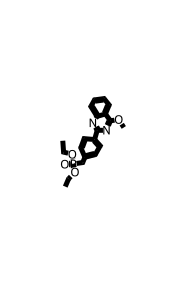 CCOP(=O)(Cc1ccc(-c2nc(OC)c3ccccc3n2)cc1)OCC